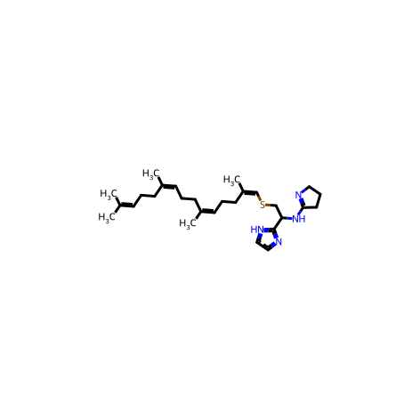 CC(C)=CCCC(C)=CCCC(C)=CCCC(C)=CSCC(NC1=NCCC1)c1ncc[nH]1